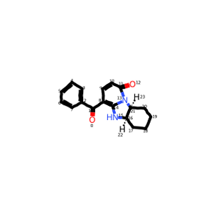 O=C(c1ccccc1)c1ccc(=O)n2c1N[C@@H]1CCCC[C@@H]12